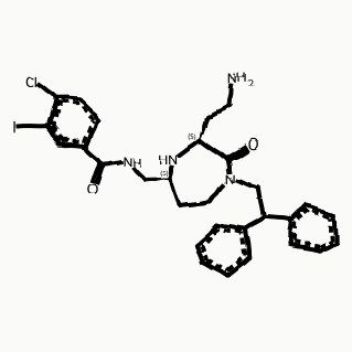 NCC[C@@H]1N[C@H](CNC(=O)c2ccc(Cl)c(I)c2)CCN(CC(c2ccccc2)c2ccccc2)C1=O